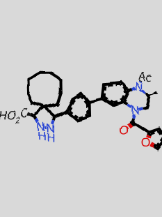 CC(=O)N1c2ccc(-c3ccc(C4NNC(C(=O)O)C45CCCCCCCC5)cc3)cc2N(C(=O)c2ccco2)C[C@@H]1C